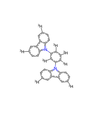 [2H]c1ccc2c(c1)c1cc([2H])ccc1n2-c1c([2H])c([2H])c([2H])c(-n2c3ccc([2H])cc3c3cc([2H])ccc32)c1[2H]